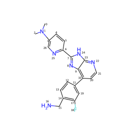 CN(C)c1ccc(-c2nc3c(-c4ccc(CN)c(F)c4)ccnc3[nH]2)nc1